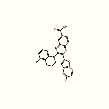 O=C(O)c1ccc2nc(-c3cc4cc(F)ccc4o3)c(N3CCCc4c(F)cccc43)nc2c1